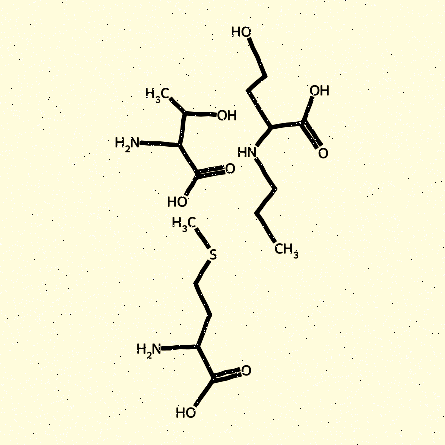 CC(O)C(N)C(=O)O.CCCNC(CCO)C(=O)O.CSCCC(N)C(=O)O